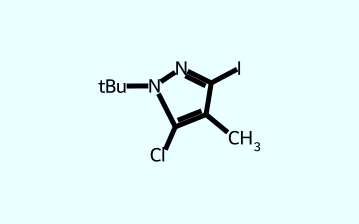 Cc1c(I)nn(C(C)(C)C)c1Cl